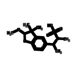 COC1Oc2ccc(C(C)N(C)S(=O)(=O)O)cc2C1(C)C